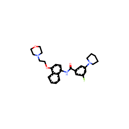 O=C(Nc1ccc(OCCN2CCOCC2)c2ccccc12)c1cc(F)cc(N2CCCCC2)c1